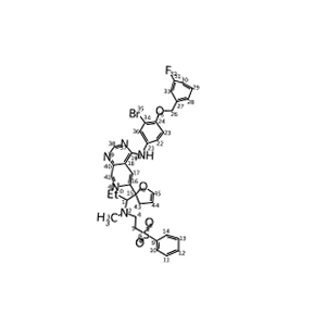 CCC(N(C)CCS(=O)(=O)c1ccccc1)C1(c2cc3c(Nc4ccc(OCc5cccc(F)c5)c(Br)c4)ncnc3cn2)CC=CO1